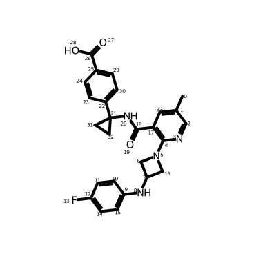 Cc1cnc(N2CC(Nc3ccc(F)cc3)C2)c(C(=O)NC2(c3ccc(C(=O)O)cc3)CC2)c1